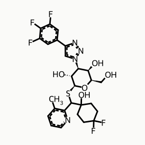 Cc1cccnc1C(S[C@@H]1O[C@H](CO)[C@H](O)[C@H](n2cc(-c3cc(F)c(F)c(F)c3)nn2)[C@H]1O)C1(O)CCC(F)(F)CC1